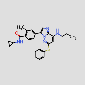 Cc1cc(-c2cnc3c(NCCC(F)(F)F)cc(Sc4ccccc4)nn23)ccc1C(=O)NC1CC1